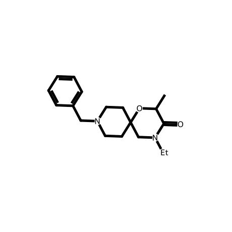 CCN1CC2(CCN(Cc3ccccc3)CC2)OC(C)C1=O